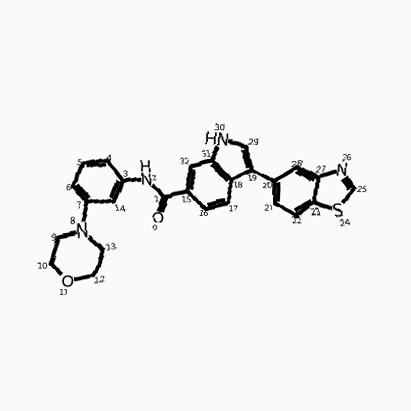 O=C(Nc1cccc(N2CCOCC2)c1)c1ccc2c(-c3ccc4scnc4c3)c[nH]c2c1